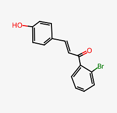 O=C(C=Cc1ccc(O)cc1)c1ccccc1Br